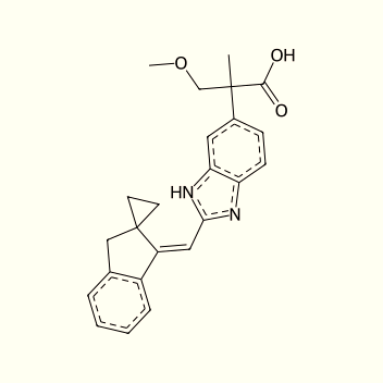 COCC(C)(C(=O)O)c1ccc2nc(/C=C3/c4ccccc4CC34CC4)[nH]c2c1